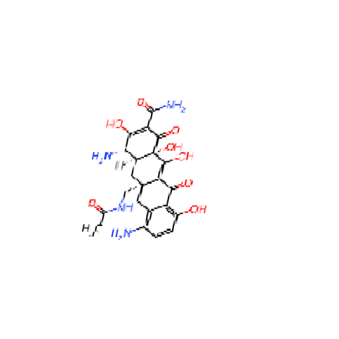 CC(=O)NC[C@@]12Cc3c(N)ccc(O)c3C(=O)C1=C(O)[C@]1(O)C(=O)C(C(N)=O)=C(O)[C@@H](N)[C@@H]1C2